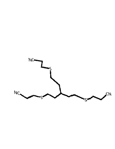 N#CCCSCCC(CCSCCC#N)CCSCCC#N